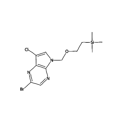 C[Si](C)(C)CCOCn1cc(Cl)c2nc(Br)cnc21